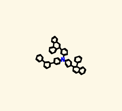 c1ccc(-c2cccc(-c3ccc(N(c4ccc(-c5ccc6ccccc6c5-c5ccccc5)cc4)c4cccc(-c5cc6ccccc6c6ccccc56)c4)cc3)c2)cc1